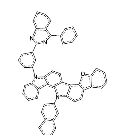 c1ccc(-c2nc(-c3cccc(-n4c5ccccc5c5c4ccc4c6c7oc8ccccc8c7ccc6n(-c6ccc7ccccc7c6)c45)c3)nc3ccccc23)cc1